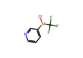 [O-][S+](c1cccnc1)C(F)(F)F